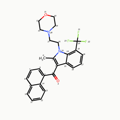 Cc1c(C(=O)c2cccc3ccccc23)c2cccc(C(F)(F)F)c2n1CCN1CCOCC1